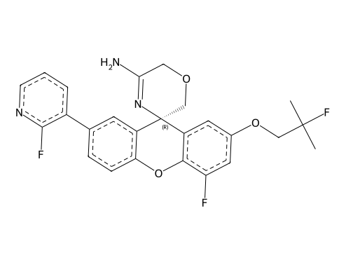 CC(C)(F)COc1cc(F)c2c(c1)[C@@]1(COCC(N)=N1)c1cc(-c3cccnc3F)ccc1O2